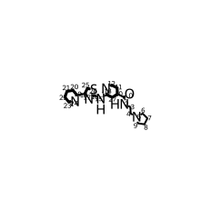 O=C(NCCN1CCCC1)c1ccnc(Nc2nc(-c3ccccn3)cs2)c1